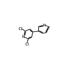 Clc1cc(-c2cccnc2)cc(Cl)n1